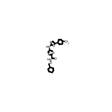 O=C(NOCc1ccccc1)c1ncc(Nc2ncc(-c3ccc(C(F)(F)F)cc3)o2)cn1